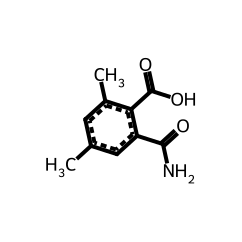 Cc1cc(C)c(C(=O)O)c(C(N)=O)c1